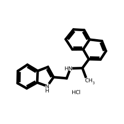 CC(NCc1cc2ccccc2[nH]1)c1cccc2ccccc12.Cl